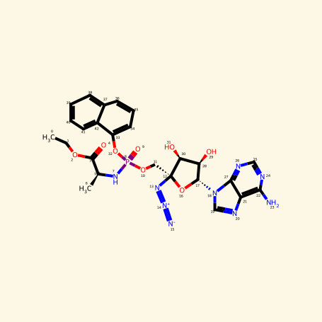 CCOC(=O)[C@H](C)NP(=O)(OC[C@@]1(N=[N+]=[N-])O[C@@H](n2cnc3c(N)ncnc32)[C@H](O)[C@@H]1O)Oc1cccc2ccccc12